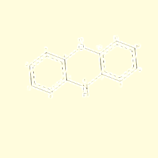 [c]1cc[c]c2c1Nc1ccccc1O2